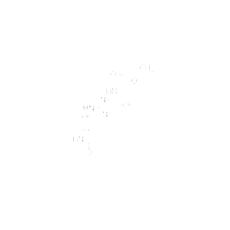 CC1=CC(=O)C(CNc2nc(Nc3ccc4c(c3)CC(=O)N4)ncc2C(F)(F)F)O1